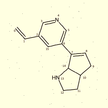 C=Cc1cncc(C2=CCC3CCNC23)c1